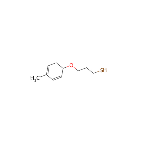 CC1=CCC(OCCCS)C=C1